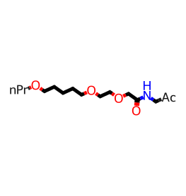 CCCOCCCCCOCCOCC(=O)NCC(C)=O